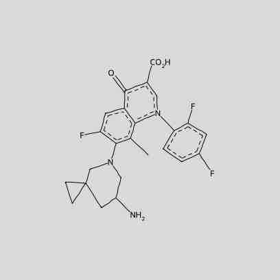 Cc1c(N2CC(N)CC3(CC3)C2)c(F)cc2c(=O)c(C(=O)O)cn(-c3ccc(F)cc3F)c12